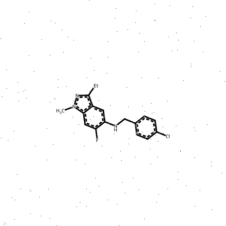 CCc1nn(C)c2cc(F)c(NCc3ccc(Cl)cc3)cc12